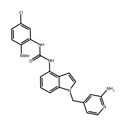 CNc1ccc(Cl)cc1NC(=O)Nc1cccc2c1ccn2Cc1ccnc(N)c1